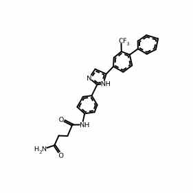 NC(=O)CCC(=O)Nc1ccc(-c2ncc(-c3ccc(-c4ccccc4)c(C(F)(F)F)c3)[nH]2)cc1